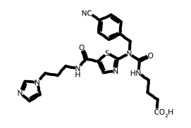 N#Cc1ccc(CN(C(=O)NCCCC(=O)O)c2ncc(C(=O)NCCCn3ccnc3)s2)cc1